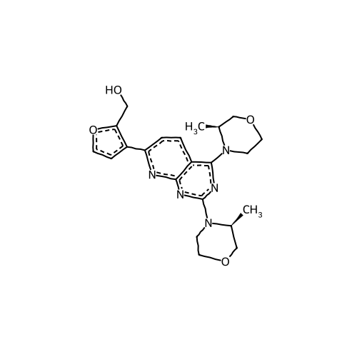 C[C@H]1COCCN1c1nc(N2CCOC[C@@H]2C)c2ccc(-c3ccoc3CO)nc2n1